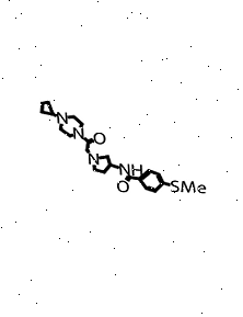 CSc1ccc(C(=O)NC2CCN(CC(=O)N3CCN(C4CCC4)CC3)C2)cc1